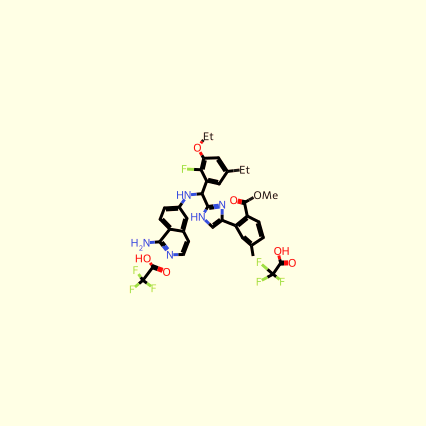 CCOc1cc(CC)cc(C(Nc2ccc3c(N)nccc3c2)c2nc(-c3cc(C)ccc3C(=O)OC)c[nH]2)c1F.O=C(O)C(F)(F)F.O=C(O)C(F)(F)F